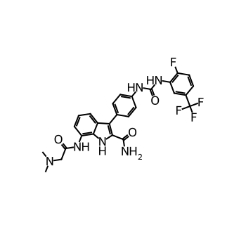 CN(C)CC(=O)Nc1cccc2c(-c3ccc(NC(=O)Nc4cc(C(F)(F)F)ccc4F)cc3)c(C(N)=O)[nH]c12